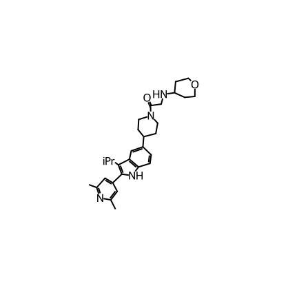 Cc1cc(-c2[nH]c3ccc(C4CCN(C(=O)CNC5CCOCC5)CC4)cc3c2C(C)C)cc(C)n1